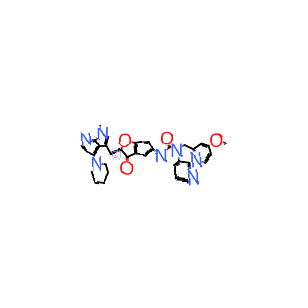 COc1ccnc(CN(C(=O)N(C)c2ccc3c(c2)C(=O)/C(=C/c2cn(C)c4nccc(N5CCCCC5)c24)O3)c2cccnc2)c1